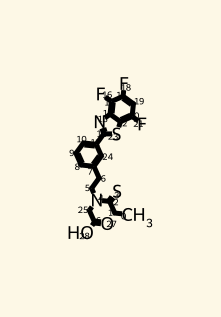 CCC(=S)N(CCc1cccc(-c2nc3c(F)c(F)cc(F)c3s2)c1)CC(=O)O